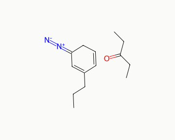 CCC(=O)CC.CCCC1=CC(=[N+]=[N-])CC=C1